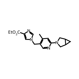 CCOC(=O)c1cn(Cc2cnc(N3CC4CC4C3)cc2C)cn1